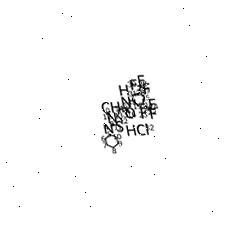 CCN1C(=NC2CCCCC2)SCC1CC(=O)Nc1cc(C(F)(F)F)cc(C(F)(F)F)c1.Cl